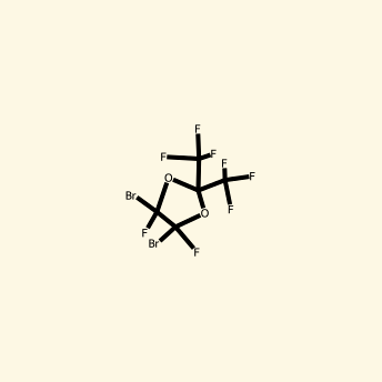 FC(F)(F)C1(C(F)(F)F)OC(F)(Br)C(F)(Br)O1